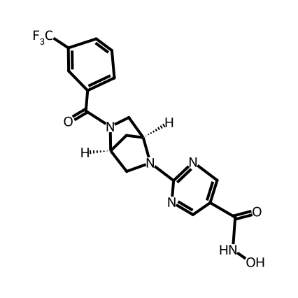 O=C(NO)c1cnc(N2C[C@@H]3C[C@H]2CN3C(=O)c2cccc(C(F)(F)F)c2)nc1